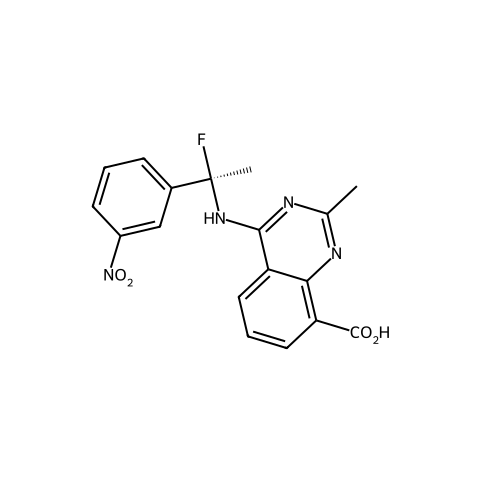 Cc1nc(N[C@](C)(F)c2cccc([N+](=O)[O-])c2)c2cccc(C(=O)O)c2n1